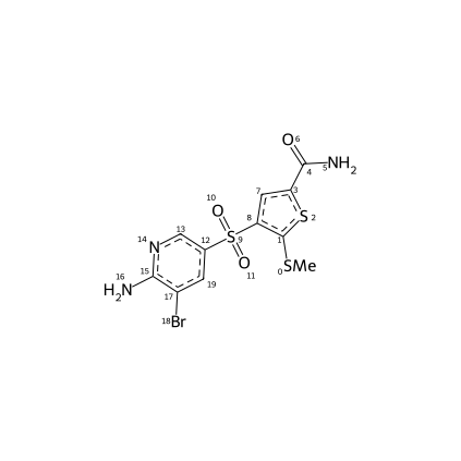 CSc1sc(C(N)=O)cc1S(=O)(=O)c1cnc(N)c(Br)c1